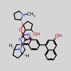 CN1CCC[C@H]1COc1nc(N2[C@@H]3CC[C@H]2CN(C(=O)CC2CCCC2O)C3)c2ccc(-c3cc(O)cc4ccccc34)cc2n1